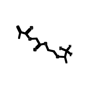 C=C(C)C(=O)OCC(=O)OCCOC(C)C(F)(F)F